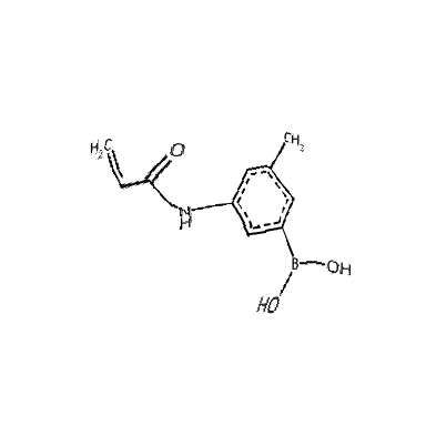 C=CC(=O)Nc1cc(C)cc(B(O)O)c1